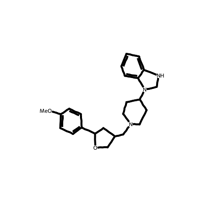 COc1ccc(C2CC(CN3CCC(N4CNc5ccccc54)CC3)CO2)cc1